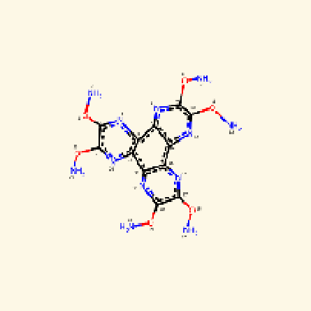 NOc1nc2c3nc(ON)c(ON)nc3c3nc(ON)c(ON)nc3c2nc1ON